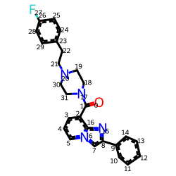 O=C(c1cccn2cc(-c3ccccc3)nc12)N1CCN(CCc2ccc(F)cc2)CC1